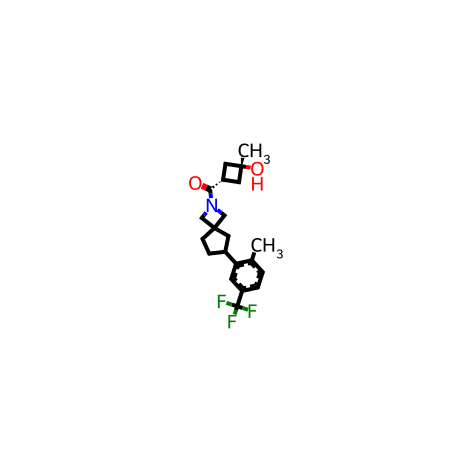 Cc1ccc(C(F)(F)F)cc1C1CCC2(C1)CN(C(=O)[C@H]1C[C@@](C)(O)C1)C2